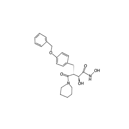 O=C(NO)[C@@H](O)[C@@H](Cc1ccc(OCc2ccccc2)cc1)C(=O)N1CCCCC1